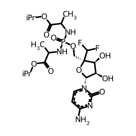 CC(C)OC(=O)C(C)NP(=O)(NC(C)C(=O)OC(C)C)OC[C@@]1(C(F)F)O[C@@H](n2ccc(N)nc2=O)[C@H](O)[C@@H]1O